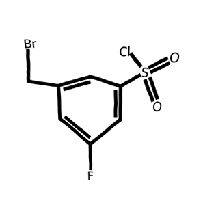 O=S(=O)(Cl)c1cc(F)cc(CBr)c1